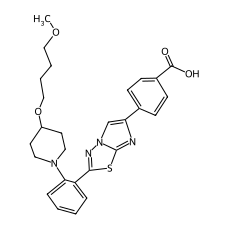 COCCCCOC1CCN(c2ccccc2-c2nn3cc(-c4ccc(C(=O)O)cc4)nc3s2)CC1